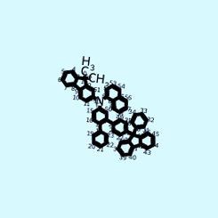 CC1(C)c2ccccc2-c2ccc(N(c3ccc(-c4ccccc4)c(-c4ccc(C5(c6ccccc6)c6ccccc6-c6ccccc65)cc4)c3)c3cccc4ccccc34)cc21